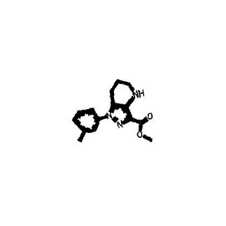 COC(=O)c1nn(-c2cccc(C)c2)c2c1NCCC2